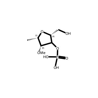 CO[C@H]1C(OP(=O)(O)O)[C@@H](CO)O[C@H]1C